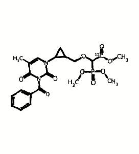 CO[12C](=O)C(OCC1CC1n1cc(C)c(=O)n(C(=O)c2ccccc2)c1=O)P(=O)(OC)OC